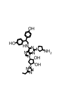 CCc1nnn([C@H]2C[C@@H](n3cnc4c(NCC(c5ccc(O)cc5)c5ccc(O)cc5)nc(N5CCC(N)C5)nc43)[C@H](O)[C@@H]2O)n1